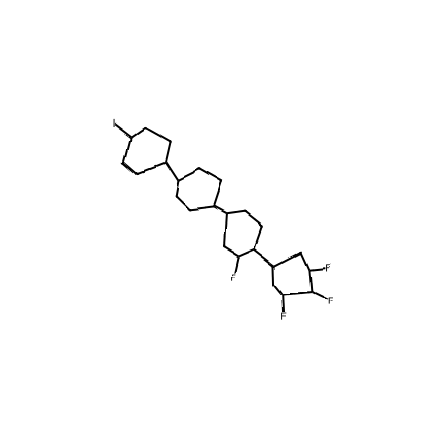 FC1CC(C2CCC(C3CCC(C4CCC(I)CC4)CC3)CC2F)CC(F)C1F